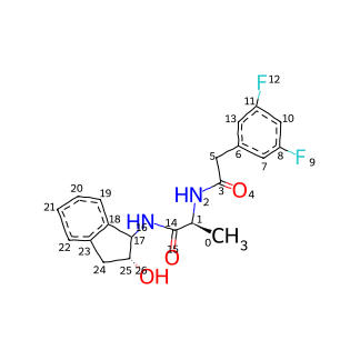 C[C@H](NC(=O)Cc1cc(F)cc(F)c1)C(=O)NC1c2ccccc2C[C@H]1O